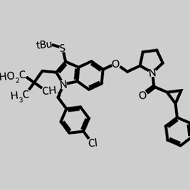 CC(C)(C)Sc1c(CC(C)(C)C(=O)O)n(Cc2ccc(Cl)cc2)c2ccc(OCC3CCCN3C(=O)C3CC3c3ccccc3)cc12